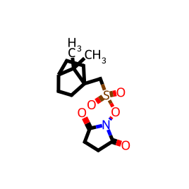 CC1(C)C2CCC1(CS(=O)(=O)ON1C(=O)CCC1=O)CC2